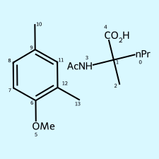 CCCC(C)(NC(C)=O)C(=O)O.COc1ccc(C)cc1C